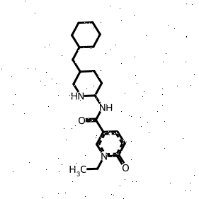 CCn1cc(C(=O)NC2CCC(CC3CCCCC3)CN2)ccc1=O